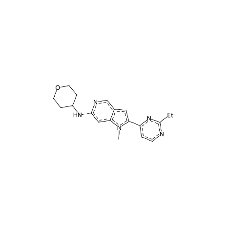 CCc1nccc(-c2cc3cnc(NC4CCOCC4)cc3n2C)n1